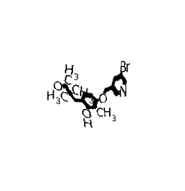 CC(=O)C(C)(C)Cc1ccc(OCc2cncc(Br)c2)c(C)c1O